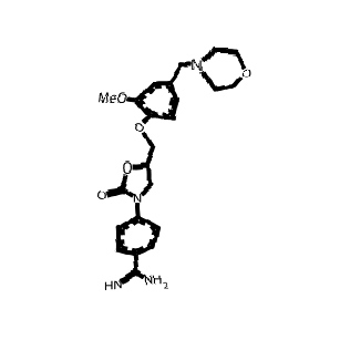 COc1cc(CN2CCOCC2)ccc1OCC1CN(c2ccc(C(=N)N)cc2)C(=O)O1